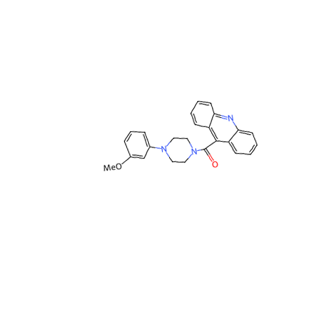 COc1cccc(N2CCN(C(=O)c3c4ccccc4nc4ccccc34)CC2)c1